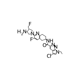 CCn1cc(Cl)c2cc(C(=O)NC3CCc4nc(N5CC(N)C(CF)C5)c(F)cc4C3)nnc21